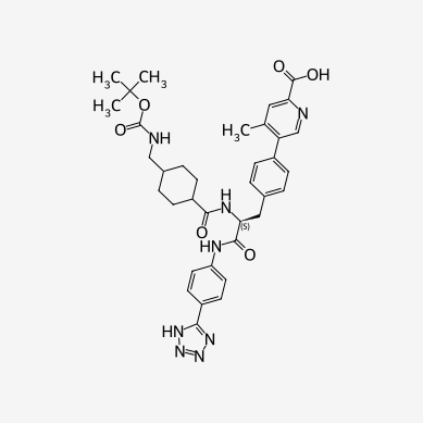 Cc1cc(C(=O)O)ncc1-c1ccc(C[C@H](NC(=O)C2CCC(CNC(=O)OC(C)(C)C)CC2)C(=O)Nc2ccc(-c3nnn[nH]3)cc2)cc1